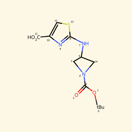 CC(C)(C)OC(=O)N1CC(Nc2nc(C(=O)O)cs2)C1